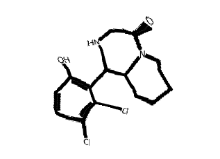 O=C1CNC(c2c(O)ccc(Cl)c2Cl)C2CCCCN12